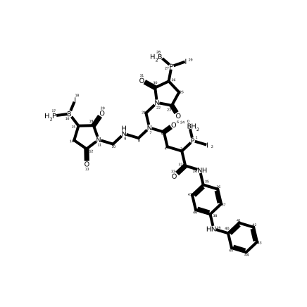 BP(I)C(CC(=O)N(CNCN1C(=O)CC(B(P)I)C1=O)CN1C(=O)CC(P(B)I)C1=O)C(=O)Nc1ccc(Nc2ccccc2)cc1